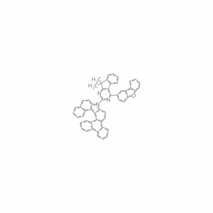 CC1(C)c2ccccc2-c2c(-c3ccc4oc5ccccc5c4c3)nc(-n3c4ccc5ccccc5c4c4c5c6ccccc6c6ccccc6c5ccc43)nc21